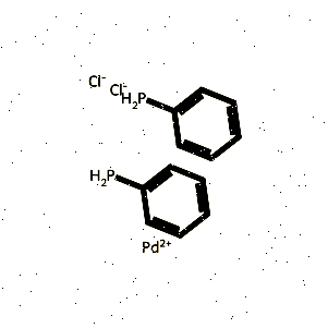 Pc1ccccc1.Pc1ccccc1.[Cl-].[Cl-].[Pd+2]